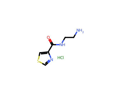 Cl.NCCNC(=O)c1cscn1